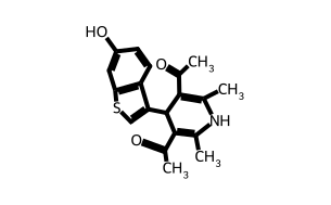 CC(=O)C1=C(C)NC(C)=C(C(C)=O)C1c1csc2cc(O)ccc12